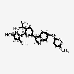 Cc1ccc(Oc2ccc3c(-c4ccc(C(C)O)c(-n5nc(C#N)cc5C)n4)cnn3c2)nn1